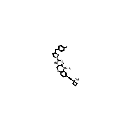 CN1C(=O)[C@H](NC(=O)n2ccc(Cc3ccc(F)cc3)n2)COc2ccc(C#CC3(O)CCC3)cc21